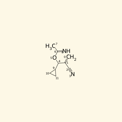 C=C(C#N)C(OC(C)=N)C1CC1